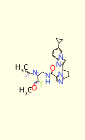 C\C=C/N=C(CNC(=O)c1cnc2n1C(c1cn3cc(C4CC4)ccc3n1)CC2)\C(F)=C\OC